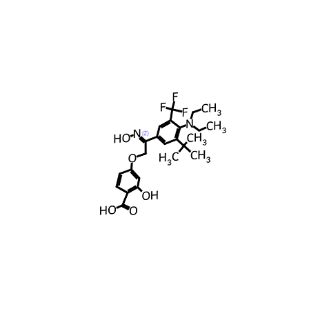 CCN(CC)c1c(C(C)(C)C)cc(/C(COc2ccc(C(=O)O)c(O)c2)=N/O)cc1C(F)(F)F